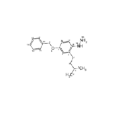 CC(C)CCc1cc(OCc2ccccc2)ccc1NN